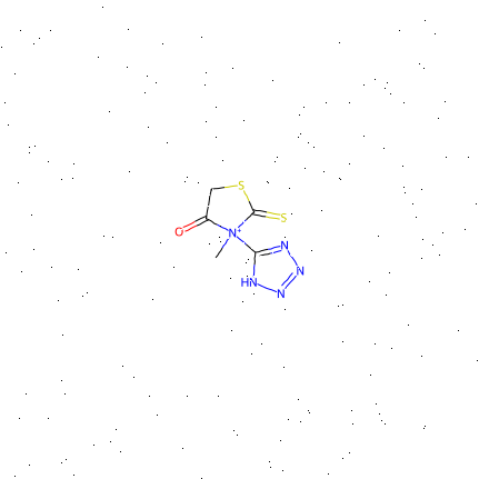 C[N+]1(c2nnn[nH]2)C(=O)CSC1=S